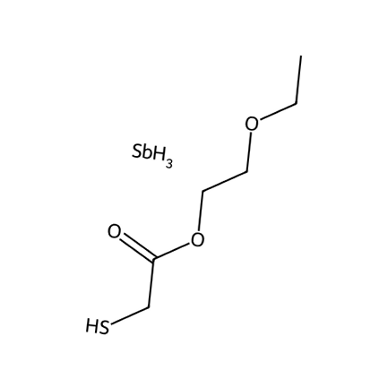 CCOCCOC(=O)CS.[SbH3]